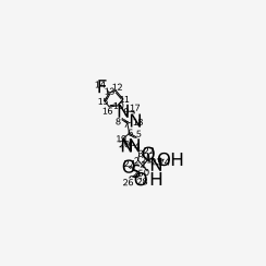 CC(CCn1cc(-c2cn(-c3ccc(F)cc3)cn2)cn1)(C(=O)NO)S(C)(=O)=O